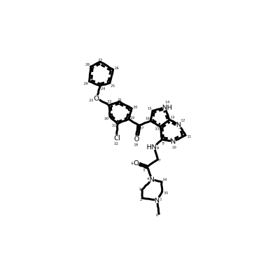 CN1CCN(C(=O)CNc2ncnc3[nH]cc(C(=O)c4ccc(Oc5ccccc5)cc4Cl)c23)CC1